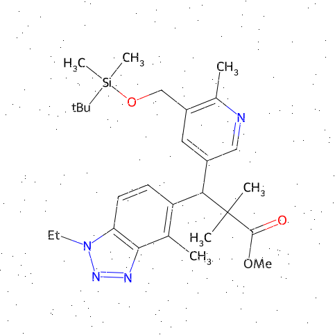 CCn1nnc2c(C)c(C(c3cnc(C)c(CO[Si](C)(C)C(C)(C)C)c3)C(C)(C)C(=O)OC)ccc21